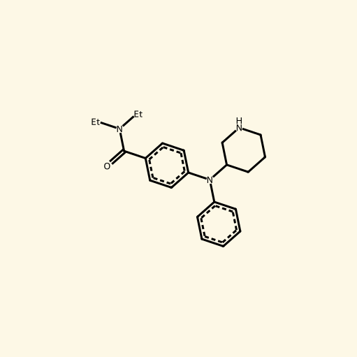 CCN(CC)C(=O)c1ccc(N(c2ccccc2)C2CCCNC2)cc1